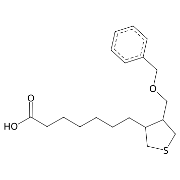 O=C(O)CCCCCCC1CSCC1COCc1ccccc1